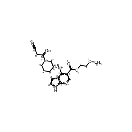 COCCOC(=O)c1cnc2[nH]ccc2c1N[C@@H]1CCCN(C(=O)CC#N)C1